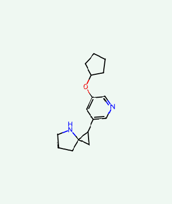 c1ncc(C2CC23CCCN3)cc1OC1CCCC1